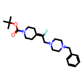 CC(C)(C)OC(=O)N1CCC(=C(F)CN2CCN(Cc3ccccc3)CC2)CC1